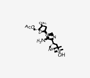 CC(=O)OC[C@H]1OC(n2cnc([C@@H](CN)CC(C)(C)[Si](C)(C)O)c2N)CC1OC(C)=O